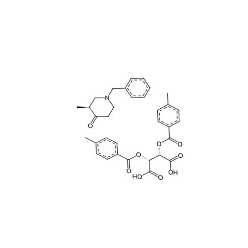 C[C@H]1CN(Cc2ccccc2)CCC1=O.Cc1ccc(C(=O)O[C@H](C(=O)O)[C@@H](OC(=O)c2ccc(C)cc2)C(=O)O)cc1